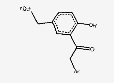 CCCCCCCCCc1ccc(O)c(C(=O)CC(C)=O)c1